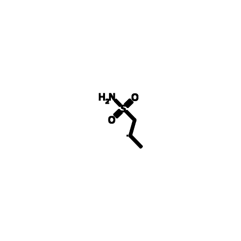 C[CH]CS(N)(=O)=O